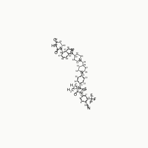 CC1(C)C(=O)N(c2ccc(C#N)c(C(F)(F)F)c2)C(=S)N1c1ccc(N2CCC(CN3CCC(n4ncc5c(N6CCC(=O)NC6=O)cccc54)CC3)CC2)cc1